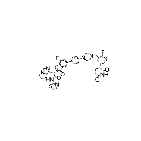 O=C1CCC(c2cnc(F)c(CN3CCN(c4ccc(-c5cc(F)c6c(c5)C(=O)N(C(C(=O)Nc5nccs5)c5ncn7c5CCC7)C6)cc4)CC3)c2)C(=O)N1